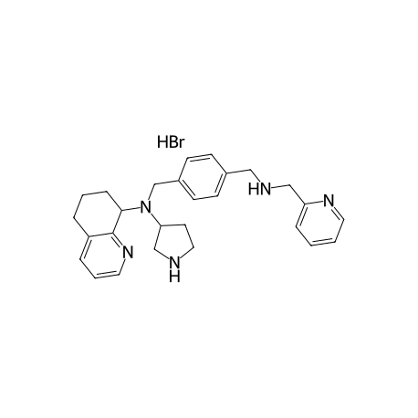 Br.c1ccc(CNCc2ccc(CN(C3CCNC3)C3CCCc4cccnc43)cc2)nc1